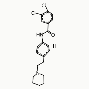 I.O=C(Nc1ccc(CCN2CCCCC2)cc1)c1ccc(Cl)c(Cl)c1